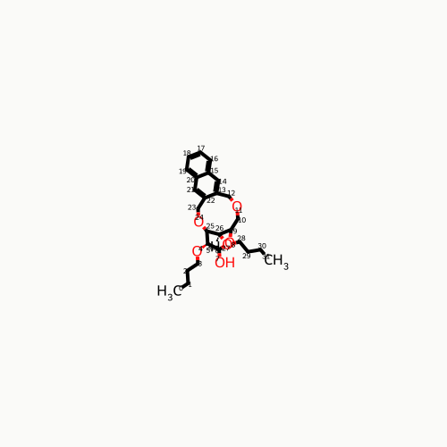 CCCCO[C@@H]1C(O)OC2COCc3cc4ccccc4cc3COC1[C@@H]2OCCCC